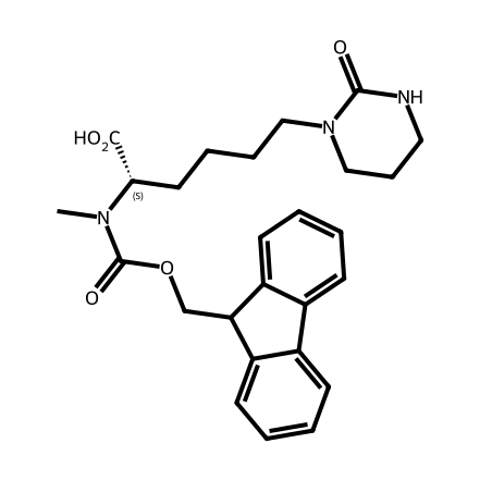 CN(C(=O)OCC1c2ccccc2-c2ccccc21)[C@@H](CCCCN1CCCNC1=O)C(=O)O